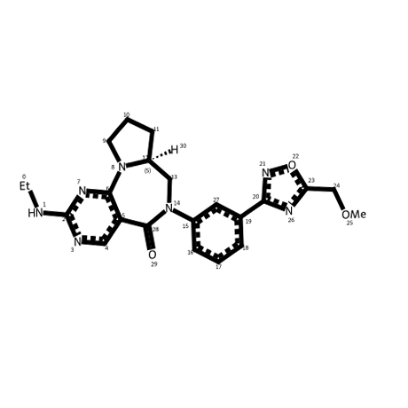 CCNc1ncc2c(n1)N1CCC[C@H]1CN(c1cccc(-c3noc(COC)n3)c1)C2=O